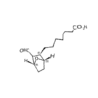 O=CC1[C@@H](CCCCCCC(=O)O)[C@@H]2CC[C@H]1O2